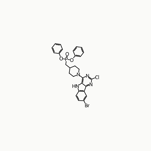 O=P(CC1CCN(c2nc(Cl)nc3c2[nH]c2ccc(Br)cc23)CC1)(Oc1ccccc1)Oc1ccccc1